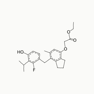 CCOC(=O)COc1cc(C)c(Cc2ccc(O)c(C(C)C)c2F)c2c1CCC2